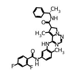 CC1=C2C(Nc3cc(NC(=O)c4ccc(F)cc4F)ccc3C)=NC=NN2CC1C(=O)N[C@@H](C)c1ccccc1